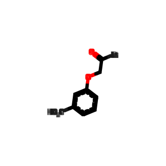 CCC(=O)COc1cccc(C(=O)O)c1